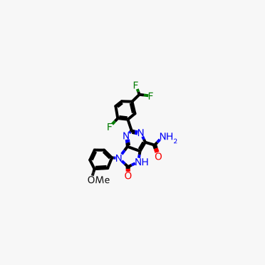 COc1cccc(-n2c(=O)[nH]c3c(C(N)=O)nc(-c4cc(C(F)F)ccc4F)nc32)c1